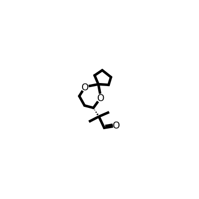 CC(C)(C=O)[C@@H]1CCOC2(CCCC2)O1